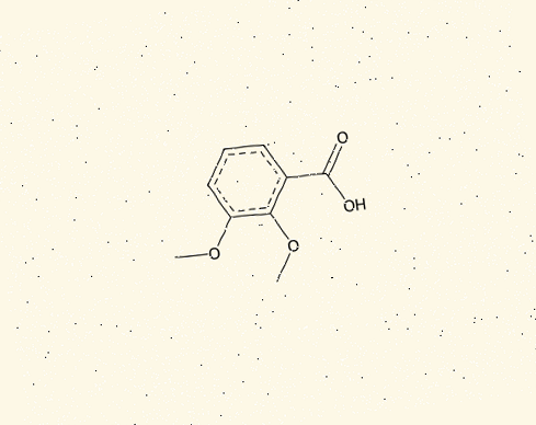 COc1cc[c]c(C(=O)O)c1OC